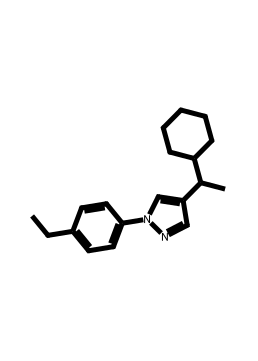 CCc1ccc(-n2cc(C(C)C3CCCCC3)cn2)cc1